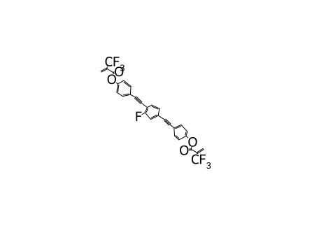 C=C(C(=O)Oc1ccc(C#Cc2ccc(C#Cc3ccc(OC(=O)C(=C)C(F)(F)F)cc3)c(F)c2)cc1)C(F)(F)F